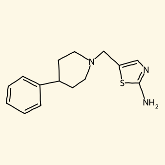 Nc1ncc(CN2CCC(c3ccccc3)CC2)s1